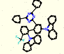 FC(F)(F)c1cccc(-c2ccc(-n3c4ccccc4c4ccccc43)cc2-c2nc(-c3ccccc3)nc(-c3ccccc3)n2)c1-n1c2ccccc2c2ccccc21